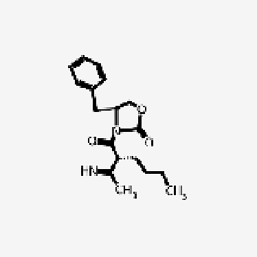 CCCC[C@H](C(C)=N)C(=O)N1C(=O)OC[C@@H]1Cc1ccccc1